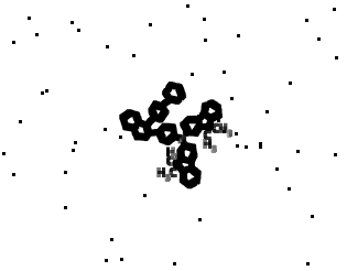 CC1(C)c2ccccc2-c2ccc(N(c3ccc(-c4ccc5ccccc5c4-c4ccc(C5=CC=CCC5)cc4)cc3)c3ccc4c(c3)C(C)(C)c3ccccc3-4)cc21